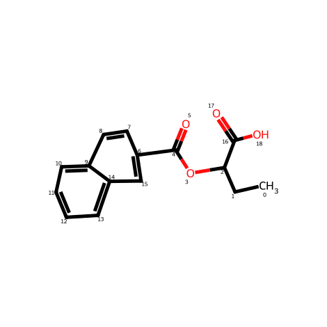 CCC(OC(=O)c1ccc2ccccc2c1)C(=O)O